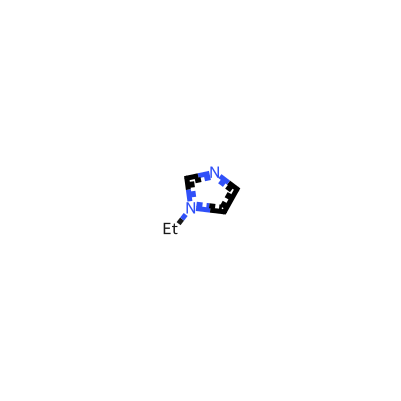 [CH2]Cn1ccnc1